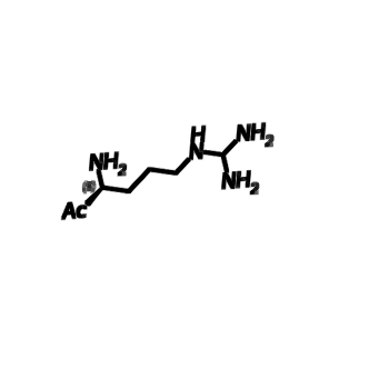 CC(=O)[C@@H](N)CCCNC(N)N